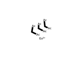 CC(=O)CC(C)=O.CC(=O)CC(C)=O.CC(=O)CC(C)=O.[Eu+3]